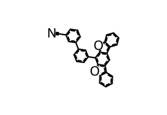 N#Cc1cccc(-c2cccc(-c3c4oc5ccccc5c4cc4c3oc3ccccc34)c2)c1